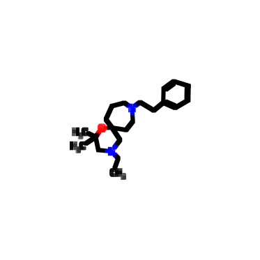 CCN1CC(C)(C)OC2(CCCN(CCc3ccccc3)CC2)C1